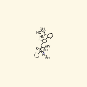 CCCc1[nH]/c(=N\C=N)n(C2CCCCC2)c(=O)c1Cc1ccc(-c2ccccc2C(=N)N(C)C(O)O)cc1F